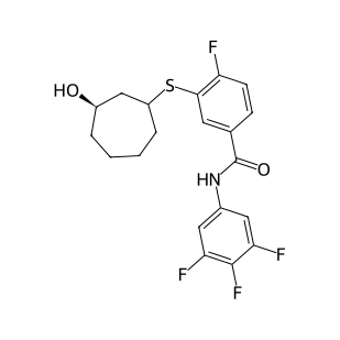 O=C(Nc1cc(F)c(F)c(F)c1)c1ccc(F)c(SC2CCCC[C@@H](O)C2)c1